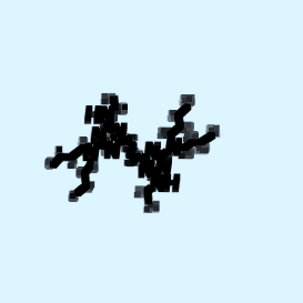 CCCCN(CCCC)c1nc(NCC)nc(SSc2nc(NCC)nc(N(CCCC)CCCC)n2)n1